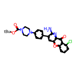 CC(C)(C)OC(=O)N1CCN(c2ccc(-c3cc4oc5cccc(Cl)c5c(=O)c4nc3N)cc2)CC1